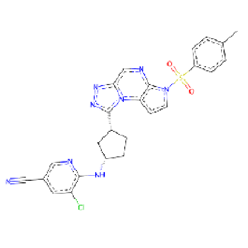 Cc1ccc(S(=O)(=O)n2ccc3c2ncc2nnc([C@@H]4CC[C@H](Nc5ncc(C#N)cc5Cl)C4)n23)cc1